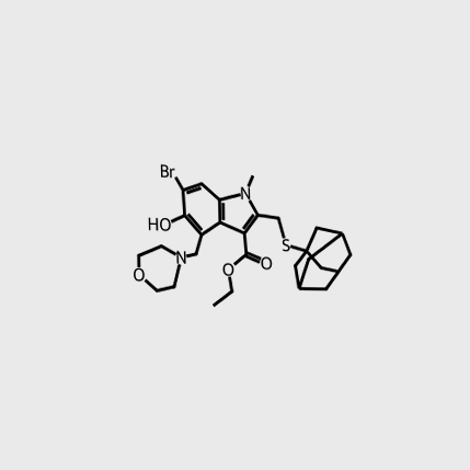 CCOC(=O)c1c(CSC23CC4CC(CC(C4)C2)C3)n(C)c2cc(Br)c(O)c(CN3CCOCC3)c12